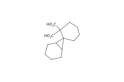 O=C(O)C1(C(=O)O)CCCCC12C1CCCCC12